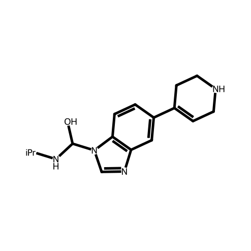 CC(C)NC(O)n1cnc2cc(C3=CCNCC3)ccc21